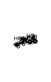 CCCc1nc(C(C)(C)O)c(C(=O)OCOC(=O)C(C)(C)C)n1Cc1ccc(-c2ccccc2C(=O)C(=O)O)cc1